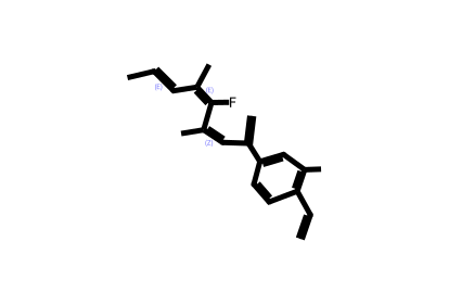 C=Cc1ccc(C(=C)\C=C(C)/C(F)=C(C)\C=C\C)cc1C